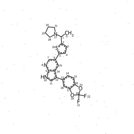 CC(c1ccc(-c2cnc3[nH]cc(-c4ccc5c(c4)OC(F)(F)O5)c3c2)s1)N1CCCC1